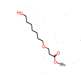 CC(C)(C)OC(=O)CCOCCCCCCCO